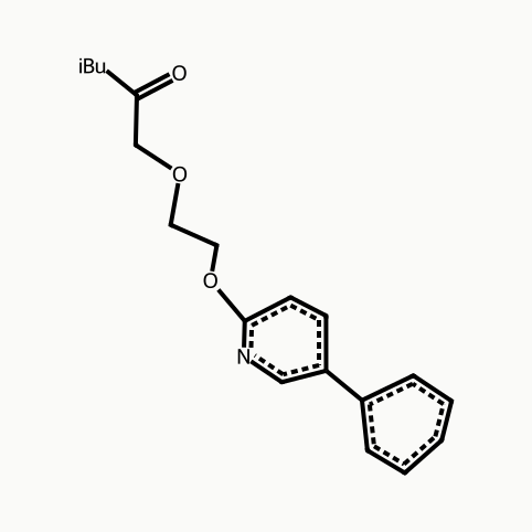 CCC(C)C(=O)COCCOc1ccc(-c2ccccc2)cn1